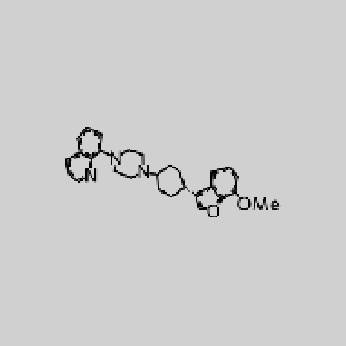 COc1cccc2c1occ2[C@H]1CC[C@H](N2CCN(c3cccc4cccnc34)CC2)CC1